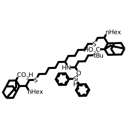 CCCCCCC(CSCCCCCC(CCCCCSCC(CCCCCC)C1C2CC3CC(C2)CC1(C(=O)O)C3)NC(CCCC(C)(C)C)O[SiH](c1ccccc1)c1ccccc1)C1C2CC3CC(C2)CC1(C(=O)O)C3